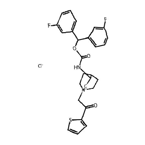 O=C(NC1C[N+]2(CC(=O)c3cccs3)CCC1CC2)OC(c1cccc(F)c1)c1cccc(F)c1.[Cl-]